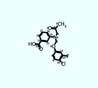 CC(=O)CN(COc1ccc(Cl)c(F)c1)c1cccc(C(=O)O)c1